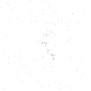 CC[C@H](C)S(=O)(=O)NOC(=O)CCN(C(=O)CN)C(=O)CCCC1CCN(C(=O)OC(C)(C)C)CC1